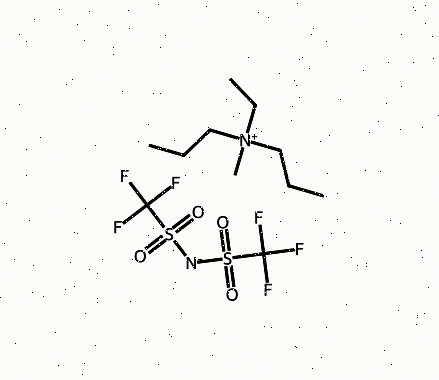 CCC[N+](C)(CC)CCC.O=S(=O)([N-]S(=O)(=O)C(F)(F)F)C(F)(F)F